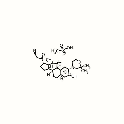 CC1(C)CN([C@H]2C[C@@]3(C)[C@@H](CC[C@H]4[C@@H]5CC[C@H](C(=O)CC#N)[C@@]5(C)CC(=O)[C@@H]43)C[C@@H]2O)CCO1.CS(=O)(=O)O